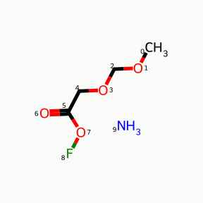 COCOCC(=O)OF.N